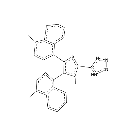 Cc1c(-c2nnn[nH]2)sc(-c2ccc(C)c3ccccc23)c1-c1ccc(C)c2ccccc12